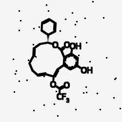 O=C1O[C@@H](C2C=CC=CC2)C/C=C/CC/C=C/C(OC(=O)C(F)(F)F)=C/c2cc(O)cc(O)c21